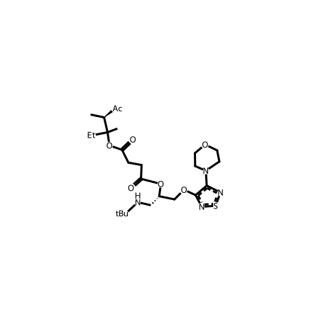 CCC(C)(OC(=O)CCC(=O)O[C@@H](CNC(C)(C)C)COc1nsnc1N1CCOCC1)[C@@H](C)C(C)=O